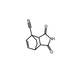 N#CC12C=CC(CC1)C1C(=O)NC(=O)C12